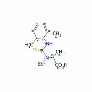 CCN(C(=S)Nc1c(C)cccc1C)C(C)C(=O)O